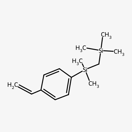 C=Cc1ccc([Si](C)(C)C[Si](C)(C)C)cc1